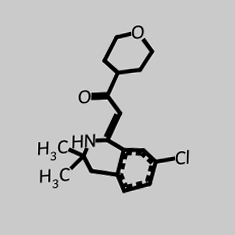 CC1(C)Cc2ccc(Cl)cc2C(=CC(=O)C2CCOCC2)N1